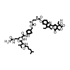 CCc1c2c(nc3ccc(OC(=O)N(C)CCN(C)C(=O)OCc4ccc(NC(=O)[C@H](CCCNC(N)=O)NC(=O)[C@@H](NC(=O)CCCC(C)C)C(C)C)cc4)cc13)-c1cc3c(c(=O)n1C2)COC(=O)[C@]3(O)CC